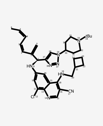 C=C(/C=C\C=C/C)[C@H](Nc1cc(Cl)c2ncc(C#N)c(NCC3CCC3)c2c1)c1cn(C2CCN(C(C)(C)C)CC2)nn1